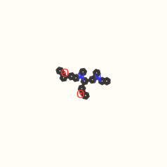 c1ccc(N(c2cc(-c3ccc4oc5ccccc5c4c3)cc(-c3ccc4c(c3)c3ccccc3n4-c3ccc4ccccc4c3)c2)c2ccc3cc(-c4cccc5c4oc4ccccc45)ccc3c2)cc1